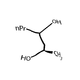 CCCC(O)[C@@H](C)O